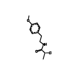 COc1ccc(CCNC(=O)C(C)Cl)cc1